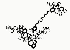 C/C(=C\C(=O)N[C@H]1CCc2cccc3c2N(C1=O)[C@H](C(=O)N[C@@H](CCC(N)=O)[C@@H](C)OCc1ccc(CCCOCCCCCc2ccc4c(c2)n(C)c(=O)n4C2CCC(=O)NC2=O)cc1)C3)c1ccc(C(F)(F)P(=O)(OCOC(=O)C(C)(C)C)OCOC(=O)C(C)(C)C)cc1